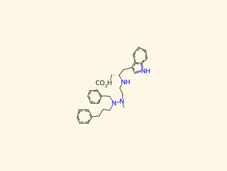 CN(CCN[C@H](CC(=O)O)Cc1c[nH]c2ccccc12)N(CCCc1ccccc1)Cc1ccccc1